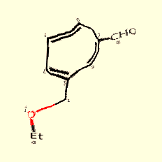 CCOCc1cccc(C=O)c1